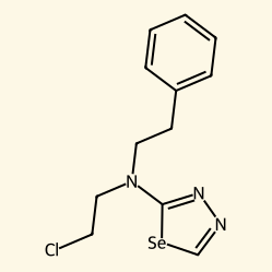 ClCCN(CCc1ccccc1)c1nnc[se]1